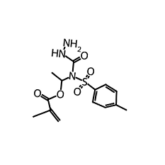 C=C(C)C(=O)OC(C)N(C(=O)NN)S(=O)(=O)c1ccc(C)cc1